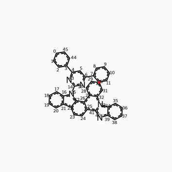 c1ccc(-c2cc(-c3ccccc3)nc(-n3c4ccccc4c4ccc5c(c6ccccc6n6c7ccccc7nc56)c43)n2)cc1